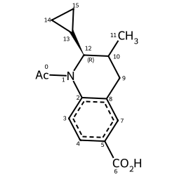 CC(=O)N1c2ccc(C(=O)O)cc2CC(C)[C@@H]1C1CC1